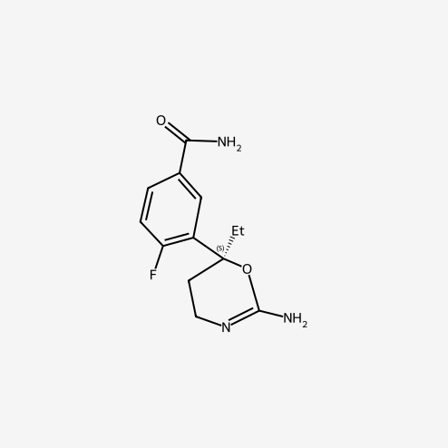 CC[C@@]1(c2cc(C(N)=O)ccc2F)CCN=C(N)O1